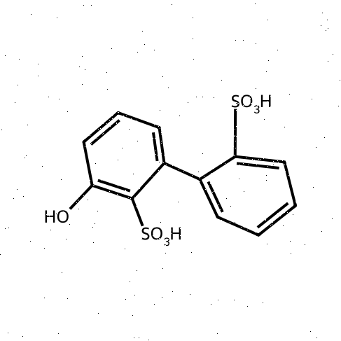 O=S(=O)(O)c1ccccc1-c1cccc(O)c1S(=O)(=O)O